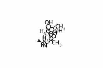 CC[C@@H]1C2C[C@H](O)CCC2(C)C2CCC3(C)C([C@H](C)CCc4nnc(C5CC5)[nH]4)CC[C@H]3[C@@H]2[C@@H]1O